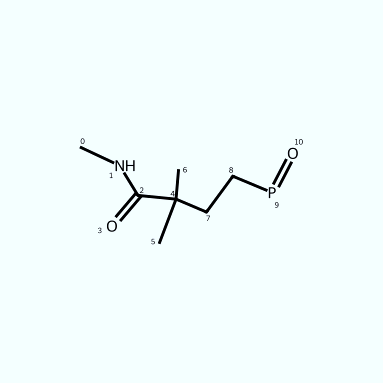 CNC(=O)C(C)(C)CCP=O